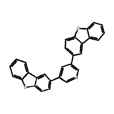 c1ccc2c(c1)oc1ccc(-c3cncc(-c4ccc5oc6ccccc6c5c4)c3)cc12